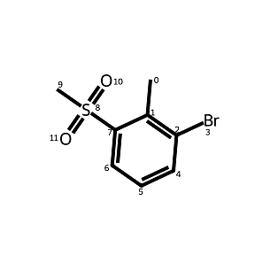 Cc1c(Br)cccc1S(C)(=O)=O